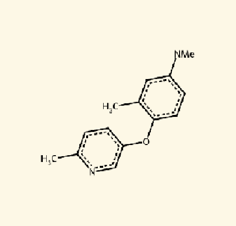 CNc1ccc(Oc2ccc(C)nc2)c(C)c1